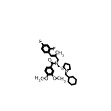 COc1ccc(C(=O)N(CC(C)=Cc2ccc(F)cc2F)C[C@@H]2CCCN2CC2CCCCC2)cc1OC